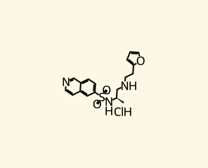 C[C@H](CNCCc1ccco1)NS(=O)(=O)c1ccc2cnccc2c1.Cl